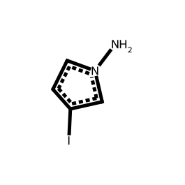 Nn1ccc(I)c1